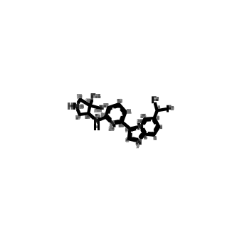 FC(F)c1ccc2ncc(-c3cccc(NC4CNCC4(F)F)n3)n2c1